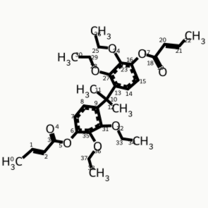 CC=CC(=O)Oc1ccc(C(C)(C)c2ccc(OC(=O)C=CC)c(OCC)c2OCC)c(OCC)c1OCC